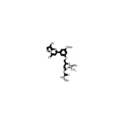 COc1cc(OCC(CCOC(=O)NC(C)(C)C)O[Si](C)(C)C(C)(C)C)cc(-c2cc(Cl)n3ncc(C(C)C)c3n2)c1